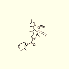 Cc1ccc(-c2c(C)c3c(c(C)c2[C@H](OC(C)(C)C)C(=O)O)CN(C(=O)N2CCOCC2C)C3)cc1